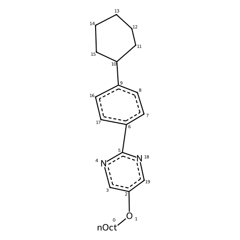 CCCCCCCCOc1cnc(-c2ccc(C3CCCCC3)cc2)nc1